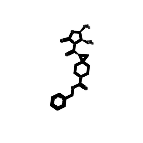 C[C@H]1[C@@H](P)OC(=O)N1C(=O)[C@@H]1CC12CCN(C(=O)OCc1ccccc1)CC2